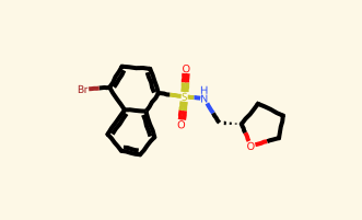 O=S(=O)(NC[C@@H]1CCCO1)c1ccc(Br)c2ccccc12